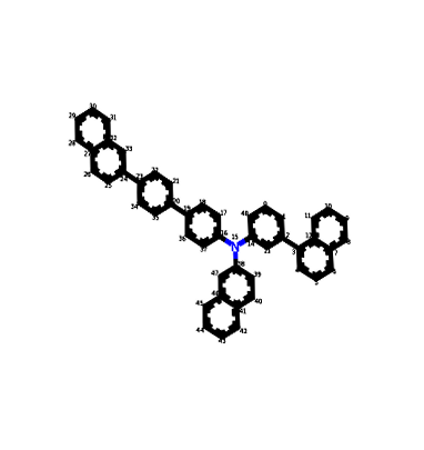 c1cc(-c2cccc3ccccc23)cc(N(c2ccc(-c3ccc(-c4ccc5ccccc5c4)cc3)cc2)c2ccc3ccccc3c2)c1